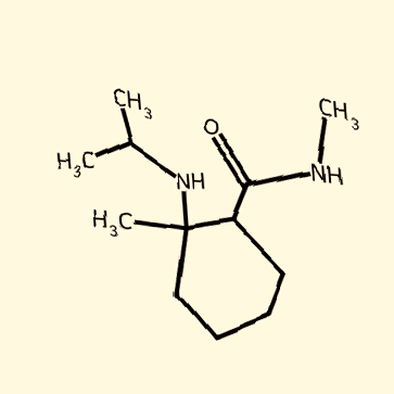 CNC(=O)C1CCCCC1(C)NC(C)C